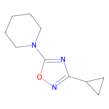 C1CCN(c2nc(C3CC3)no2)CC1